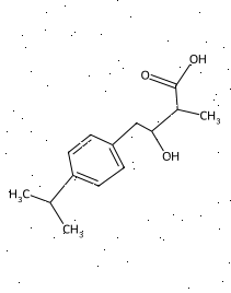 CC(C)c1ccc(CC(O)C(C)C(=O)O)cc1